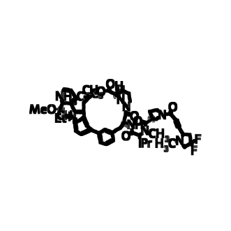 CCn1c(-c2cccnc2[C@H](C)OC)c2c3cc(ccc31)-c1cccc(c1)C[C@H](NC(=O)C(C(C)C)N(C)C(=O)[C@H]1CCN(C(=O)C#CC3CC(F)(F)CN3C)C1)C(=O)N1CCC[C@H](N1)C(=O)OCC(C)(C)C2